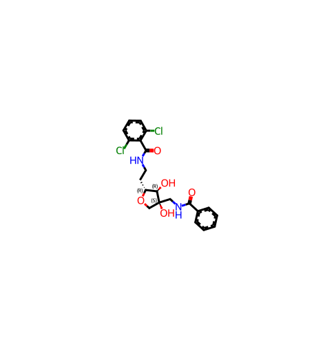 O=C(NC[C@]1(O)CO[C@H](CCNC(=O)c2c(Cl)cccc2Cl)[C@H]1O)c1ccccc1